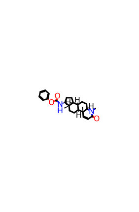 CN1C(=O)C=C[C@]2(C)[C@H]3CC[C@]4(C)[C@@H](NC(=O)Oc5ccccc5)CC[C@H]4[C@@H]3CC[C@@H]12